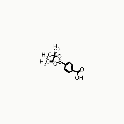 C=C1OB(c2ccc(C(=O)O)cc2)OC1(C)C